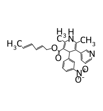 C/C=C/C=C/COC(=O)C1=C(C)NC(C)=C(c2cccnc2)C1c1cccc([N+](=O)[O-])c1